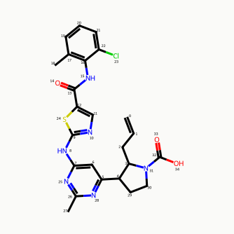 C=CCC1C(c2cc(Nc3ncc(C(=O)Nc4c(C)cccc4Cl)s3)nc(C)n2)CCN1C(=O)O